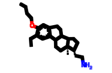 CCCCOc1cc2c(cc1CC)C1CC[C@@]3(C)C(CC[C@@H]3CCN)C1CC2